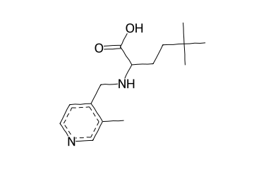 Cc1cnccc1CNC(CCC(C)(C)C)C(=O)O